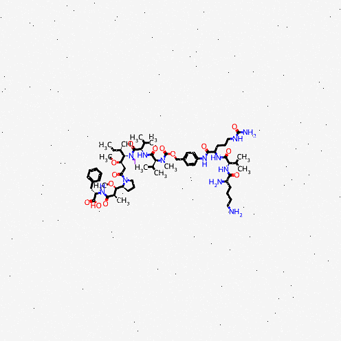 CC[C@H](C)[C@@H]([C@@H](CC(=O)N1CCC[C@H]1[C@H](OC)[C@@H](C)C(=O)N[C@@H](Cc1ccccc1)C(=O)O)OC)N(I)C(=O)[C@@H](NC(=O)[C@H](C(C)C)N(C)C(=O)OCc1ccc(NC(=O)C(CCCNC(N)=O)NC(=O)[C@@H](NC(=O)C(N)CCCCN)C(C)C)cc1)C(C)C